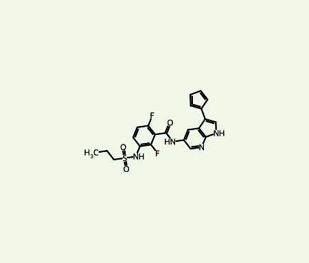 CCCS(=O)(=O)Nc1ccc(F)c(C(=O)Nc2cnc3[nH]cc(C4=C=CC=C4)c3c2)c1F